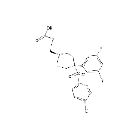 O=C(O)CC[C@H]1CC[C@@](c2cc(F)cc(F)c2)(S(=O)(=O)c2ccc(Cl)cc2)CC1